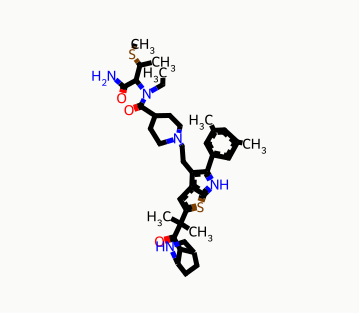 CCN(C(=O)C1CCN(CCc2c(-c3cc(C)cc(C)c3)[nH]c3sc(C(C)(C)C(=O)C4C5CCC4NC5)cc23)CC1)C(C(N)=O)C(C)SC